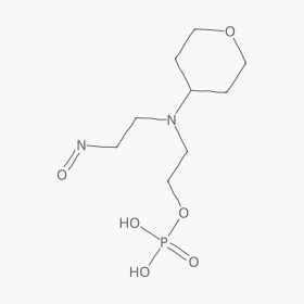 O=NCCN(CCOP(=O)(O)O)C1CCOCC1